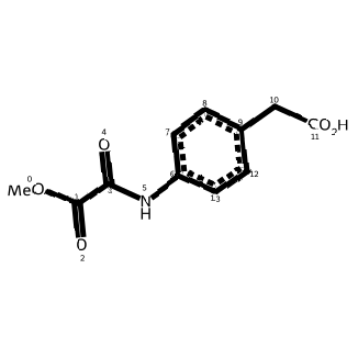 COC(=O)C(=O)Nc1ccc(CC(=O)O)cc1